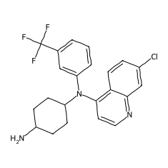 NC1CCC(N(c2cccc(C(F)(F)F)c2)c2ccnc3cc(Cl)ccc23)CC1